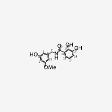 COc1cc(O)cc(CNC(=O)c2cccc(O)c2O)c1